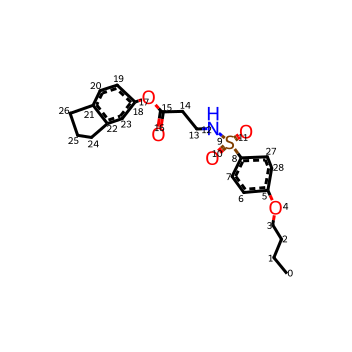 CCCCOc1ccc(S(=O)(=O)NCCC(=O)Oc2ccc3c(c2)CCC3)cc1